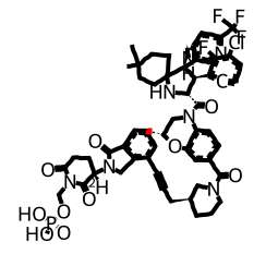 [2H][C@]1(N2Cc3c(C#CC[C@@H]4CCCN(C(=O)c5ccc6c(c5)O[C@H](C)CN6C(=O)[C@@H]5NC6(CCC(C)(C)CC6)[C@@]6(CNc7cc(C(F)(F)F)ncc76)[C@H]5c5cccc(Cl)c5F)C4)cccc3C2=O)CCC(=O)N(COP(=O)(O)O)C1=O